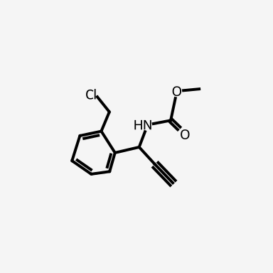 C#CC(NC(=O)OC)c1ccccc1CCl